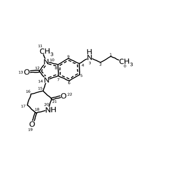 CCCNc1ccc2c(c1)n(C)c(=O)n2C1CCC(=O)NC1=O